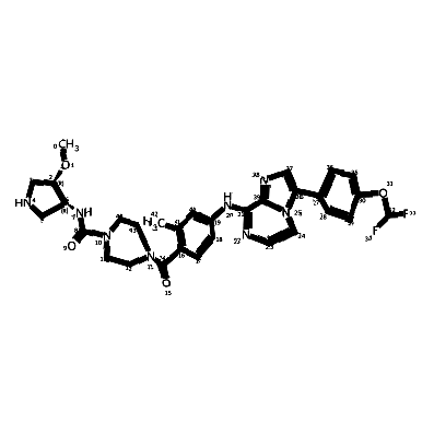 CO[C@@H]1CNC[C@H]1NC(=O)N1CCN(C(=O)c2ccc(Nc3nccn4c(-c5ccc(OC(F)F)cc5)cnc34)cc2C)CC1